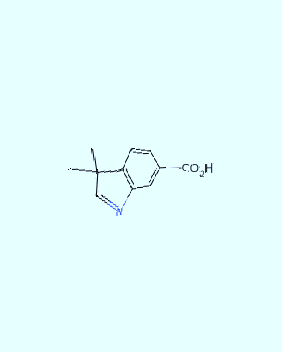 CC1(C)C=Nc2cc(C(=O)O)ccc21